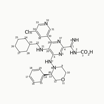 N=C(NC(=O)O)c1nc(NN2CCOC[C@H]2c2ccccc2)c(NCC2CCCCC2)c(-c2cncc(Cl)c2)n1